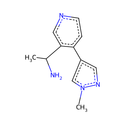 CC(N)c1cnccc1-c1cnn(C)c1